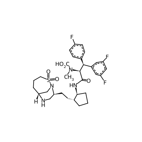 CN(C(=O)O)[C@H](C(=O)N[C@H]1CCC[C@@H]1CC[C@H]1CN[C@@H]2CCCS(=O)(=O)N1C2)[C@@H](c1ccc(F)cc1)c1cc(F)cc(F)c1